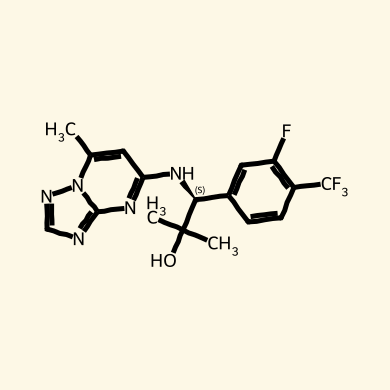 Cc1cc(N[C@@H](c2ccc(C(F)(F)F)c(F)c2)C(C)(C)O)nc2ncnn12